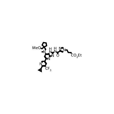 CCOC(=O)CCCn1cnc(C(=O)Nc2nc3nc(-c4cnc(C5CC5)c(C(F)(F)F)c4)cc(N(C)CC4(COC)CCCC4)c3[nH]2)c1